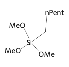 CCCCCC[Si](OC)(OC)OC